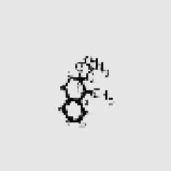 COC1(OC)CCc2ccccc2C1C